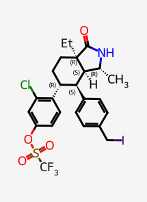 CC[C@@]12CC[C@@H](c3ccc(OS(=O)(=O)C(F)(F)F)cc3Cl)[C@H](c3ccc(CI)cc3)[C@@H]1[C@@H](C)NC2=O